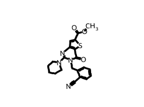 COC(=O)c1cc2nc(N3CCCCC3)n(Cc3ccccc3C#N)c(=O)c2s1